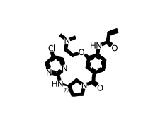 C=CC(=O)Nc1ccc(C(=O)N2CC[C@@H](Nc3ncc(Cl)cn3)C2)cc1OCCN(C)C